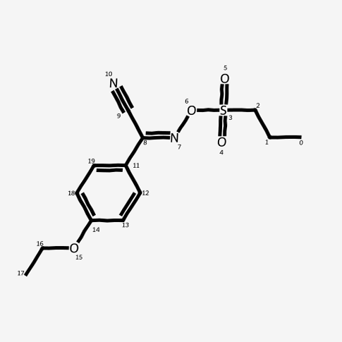 CCCS(=O)(=O)O/N=C(\C#N)c1ccc(OCC)cc1